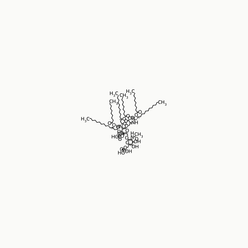 CCCCCCCCCCC[C@H](CC(=O)N[C@@H]1[C@@H](OC[C@H](NC(=O)C[C@@H](CCCCCCCCCCC)OC(=O)CCCCCCCCC)C(=O)O)O[C@@H](CO[C@@H]2O[C@H](COP(=O)(O)O)[C@@H](O)[C@H](O)[C@H]2NC(C)=O)[C@H](OP(=O)(O)O)[C@H]1OC(=O)C[C@@H](CCCCCCCCCCC)OC(=O)CCCCCCCCC)OC(=O)CCCCCCCCC